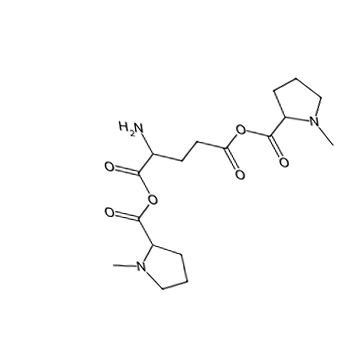 CN1CCCC1C(=O)OC(=O)CCC(N)C(=O)OC(=O)C1CCCN1C